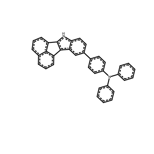 c1ccc(N(c2ccccc2)c2ccc(-c3ccc4[nH]c5c(c4c3)-c3cccc4cccc-5c34)cc2)cc1